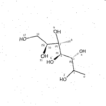 CC(O)[C@@H](O)[C@@H](O)[C@](C)(O)[C@@H](O)CO